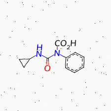 O=C(O)N(C(=O)NC1CC1)c1ccccc1